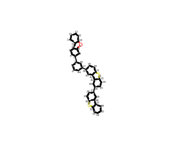 c1cc(-c2ccc3c(c2)oc2ccccc23)cc(-c2ccc3sc4ccc(-c5ccc6sc7ccccc7c6c5)cc4c3c2)c1